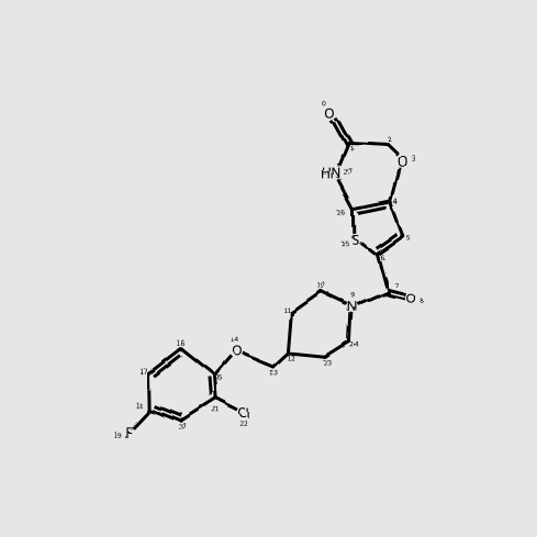 O=C1COc2cc(C(=O)N3CCC(COc4ccc(F)cc4Cl)CC3)sc2N1